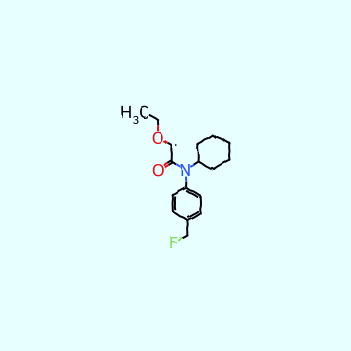 CCO[CH]C(=O)N(c1ccc(CF)cc1)C1CCCCC1